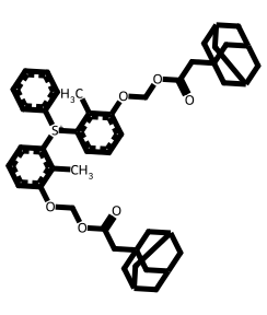 Cc1c(OCOC(=O)CC23CC4CC(CC(C4)C2)C3)cccc1[S+](c1ccccc1)c1cccc(OCOC(=O)CC23CC4CC(CC(C4)C2)C3)c1C